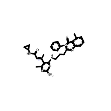 C/C(=C\C(=O)NC1CC1)c1c(C)nc(N)nc1NCCCc1nc2cccc(C)c2c(=O)n1-c1ccccc1